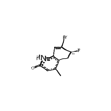 Cc1cc(=O)[nH]c2c1C[C@H](F)C(Br)=C2